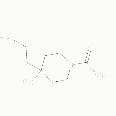 COC(=O)N1CCC(CCC=O)(C(=O)O)CC1